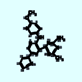 COc1ccc(Nc2ncc(-c3ccccn3)cc2-c2nc(C)nc(N)n2)cn1